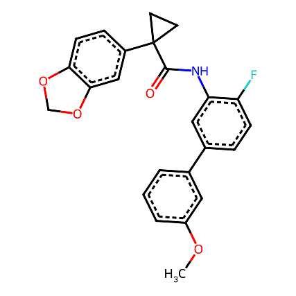 COc1cccc(-c2ccc(F)c(NC(=O)C3(c4ccc5c(c4)OCO5)CC3)c2)c1